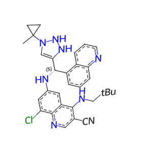 CC(C)(C)CNc1c(C#N)cnc2c(Cl)cc(N[C@H](C3=CN(C4(C)CC4)NN3)c3cccc4ncccc34)cc12